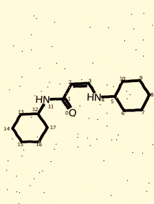 O=C(/C=C\NC1CCCCC1)NC1CCCCC1